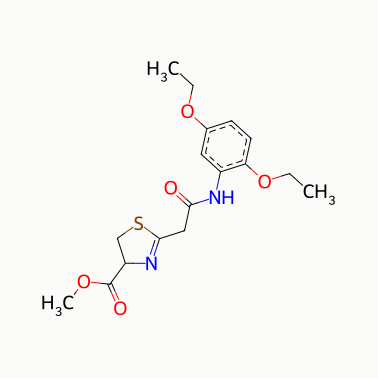 CCOc1ccc(OCC)c(NC(=O)CC2=NC(C(=O)OC)CS2)c1